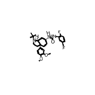 COc1ccc([C@@]23CC[C@@H](NC(=O)Nc4cc(F)ccc4F)C[C@@H]2N(C(C)(C)C)CC3)cc1OC